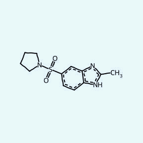 Cc1nc2cc(S(=O)(=O)N3CCCC3)ccc2[nH]1